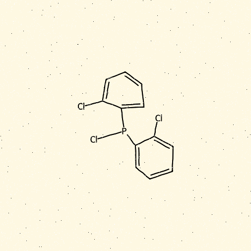 Clc1ccccc1P(Cl)c1ccccc1Cl